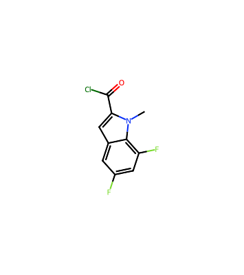 Cn1c(C(=O)Cl)cc2cc(F)cc(F)c21